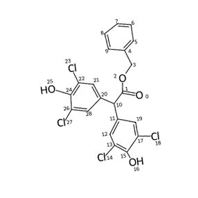 O=C(OCc1ccccc1)C(c1cc(Cl)c(O)c(Cl)c1)c1cc(Cl)c(O)c(Cl)c1